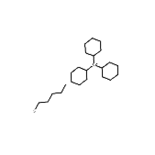 C1CC[CH]([Sn+]([CH]2CCCCC2)[CH]2CCCCC2)CC1.CCCCC[S-]